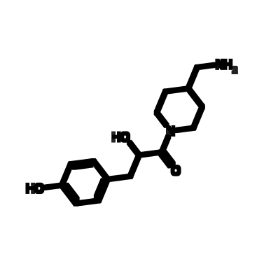 NCC1CCN(C(=O)C(O)Cc2ccc(O)cc2)CC1